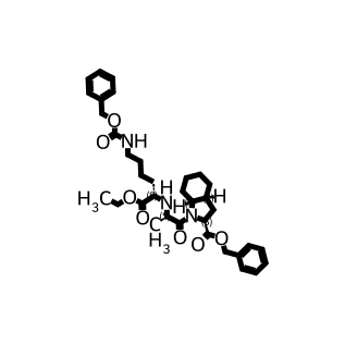 CCOC(=O)[C@H](CCCCNC(=O)OCc1ccccc1)N[C@@H](C)C(=O)N1[C@@H]2CCCC[C@@H]2C[C@H]1C(=O)OCc1ccccc1